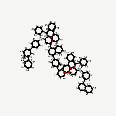 c1cc(-c2cccc3ccccc23)cc(N(c2ccc(-c3cccc4c3oc3cc(-c5ccc(-c6cccc(N(c7ccc(-c8ccc9oc%10ccccc%10c9c8)cc7)c7ccccc7-c7cc8ccccc8c8ccccc78)c6)c6ccccc56)ccc34)cc2)c2ccccc2-c2cc3ccccc3c3ccccc23)c1